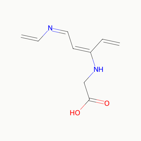 C=C/N=C\C=C(/C=C)NCC(=O)O